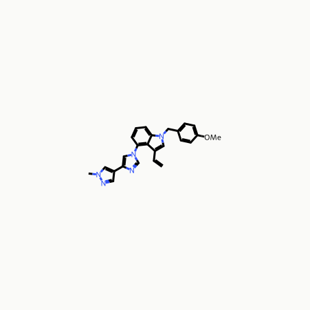 C=Cc1cn(Cc2ccc(OC)cc2)c2cccc(-n3cnc(-c4cnn(C)c4)c3)c12